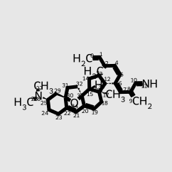 C=CC(=C)/C=C\C(=C/C(=C)C=N)[C@H]1CC[C@@H]2[C@]1(C)CC=C1C=C3CC[C@H](N(C)C)C[C@]34CC[C@@]12O4